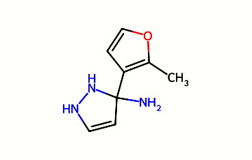 Cc1occc1C1(N)C=CNN1